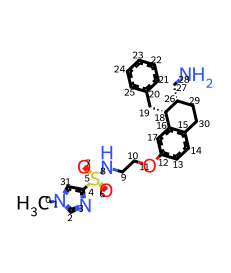 Cn1cnc(S(=O)(=O)NCCOc2ccc3c(c2)[C@H](Cc2ccccc2)[C@H](CN)CC3)c1